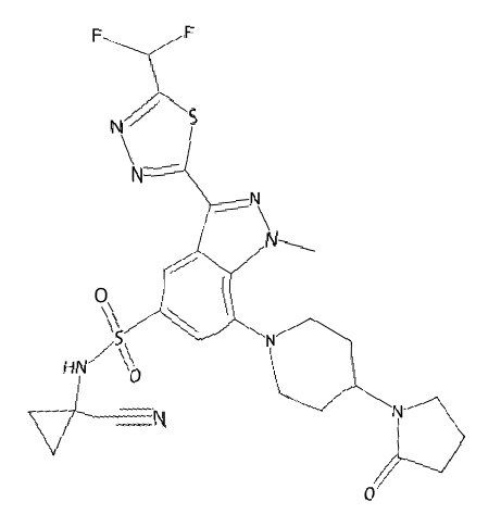 Cn1nc(-c2nnc(C(F)F)s2)c2cc(S(=O)(=O)NC3(C#N)CC3)cc(N3CCC(N4CCCC4=O)CC3)c21